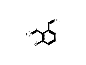 C=[C]c1cccc(Cl)c1C=C